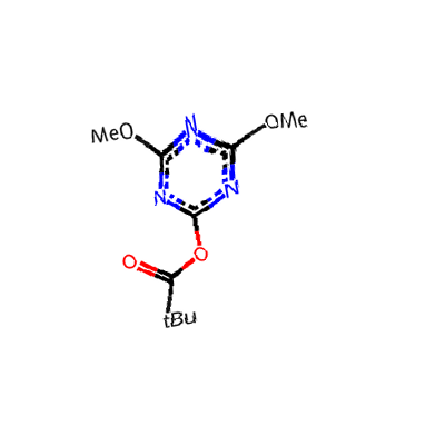 COc1nc(OC)nc(OC(=O)C(C)(C)C)n1